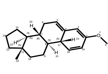 COC1=CC2=CC[C@@H]3[C@H](CC[C@]4(C)[CH]CC[C@@H]34)[C@H]2C=C1